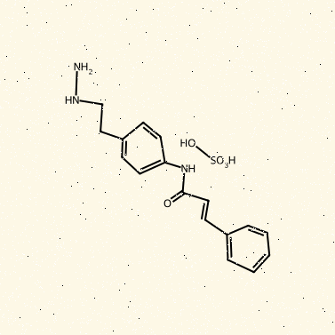 NNCCc1ccc(NC(=O)C=Cc2ccccc2)cc1.O=S(=O)(O)O